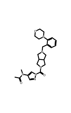 CC(=O)N(C)c1cnn(C(=O)N2CC3CN(Cc4ccccc4N4CCOCC4)CC3C2)c1